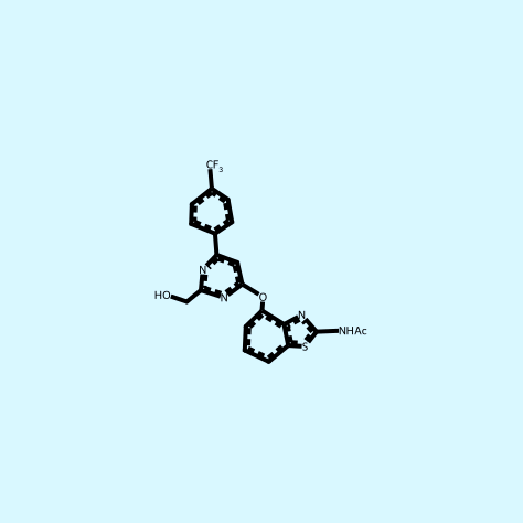 CC(=O)Nc1nc2c(Oc3cc(-c4ccc(C(F)(F)F)cc4)nc(CO)n3)cccc2s1